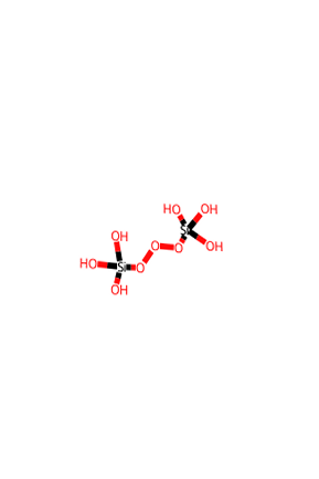 O[Si](O)(O)OOO[Si](O)(O)O